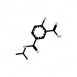 CC(C)NC(=O)c1ccc(Cl)c(C(=O)O)c1